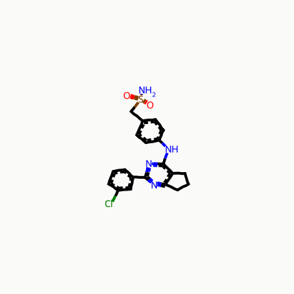 NS(=O)(=O)Cc1ccc(Nc2nc(-c3cccc(Cl)c3)nc3c2CCC3)cc1